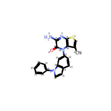 N#Cc1csc2nc(N)c(=O)n(-c3ccc4ccn(-c5ccccc5)c4c3)c12